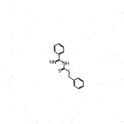 N=C(NC(=S)SCc1ccccc1)c1ccccc1